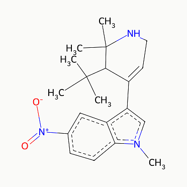 Cn1cc(C2=CCNC(C)(C)C2C(C)(C)C)c2cc([N+](=O)[O-])ccc21